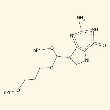 CCCOCCCOC(OCCC)N1CNc2c1nc(N)[nH]c2=O